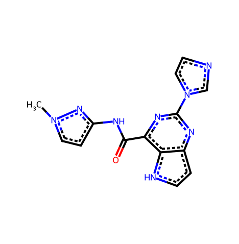 Cn1ccc(NC(=O)c2nc(-n3ccnc3)nc3cc[nH]c23)n1